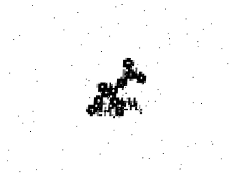 CC1(C)c2ccccc2-c2ccc(-c3cc4c(-c5ccc6c(c5)C(C)(C)c5ccccc5-6)cc(-c5ccc(-c6cc(-c7ccccc7)nc(-c7ccccc7)n6)cc5)nc4c4ccccc34)cc21